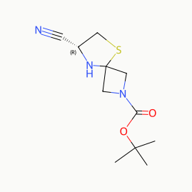 CC(C)(C)OC(=O)N1CC2(C1)N[C@H](C#N)CS2